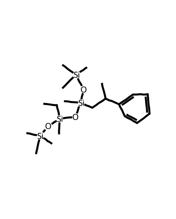 CC[Si](C)(O[Si](C)(C)C)O[Si](C)(CC(C)c1ccccc1)O[Si](C)(C)C